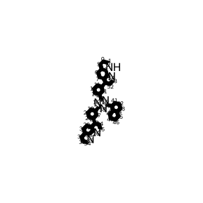 C1=CNC2C(=C1)C=Cc1c(-c3cccc(-c4nc(-c5cccc(-c6ccnc7c6ccc6cccnc67)c5)nc(-c5cccc6ccccc56)n4)c3)ccnc12